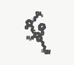 CC/C=C/[C@H]1CCC(=O)[C@@H]1CC=C=CCC(CCCCCC[16OH])(Oc1ccccc1)C(=O)OC